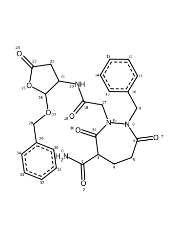 NC(=O)C1CCC(=O)N(Cc2ccccc2)N(CC(=O)NC2CC(=O)OC2OCc2ccccc2)C1=O